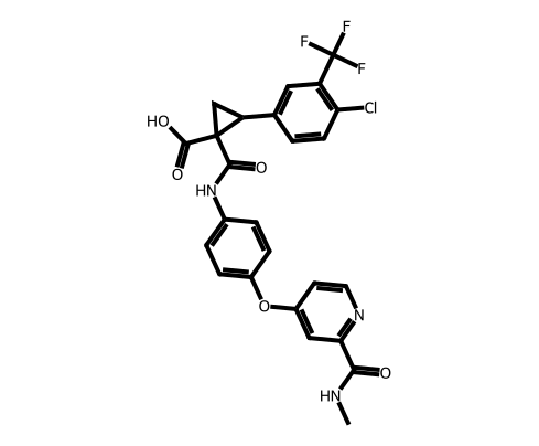 CNC(=O)c1cc(Oc2ccc(NC(=O)C3(C(=O)O)CC3c3ccc(Cl)c(C(F)(F)F)c3)cc2)ccn1